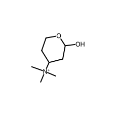 C[N+](C)(C)C1CCOC(O)C1